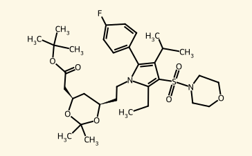 CCc1c(S(=O)(=O)N2CCOCC2)c(C(C)C)c(-c2ccc(F)cc2)n1CC[C@@H]1C[C@H](CC(=O)OC(C)(C)C)OC(C)(C)O1